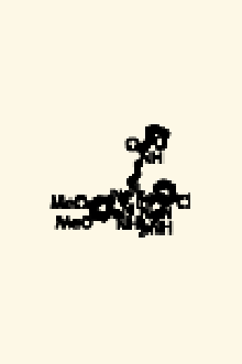 COc1cc2nc(N(C)CCCNC(=O)C3CCCO3)nc(N)c2cc1OC.Clc1cccc(Cl)c1N=C1NCCN1